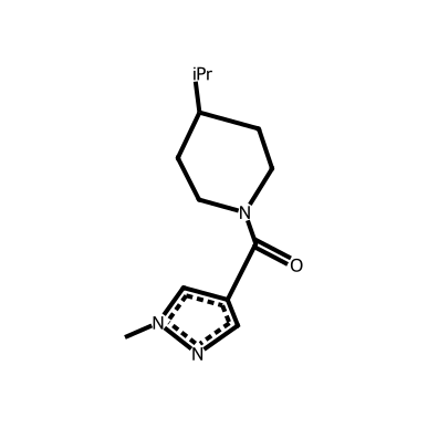 CC(C)C1CCN(C(=O)c2cnn(C)c2)CC1